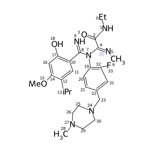 CCNC(=O)/C(=N/C)N(C(=N)c1cc(C(C)C)c(OC)cc1O)c1ccc(CN2CCN(C)CC2)cc1F